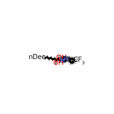 CCCCCCCCCCCCCCCCC(O)C(O)CN1CCN(Cc2cccc(C(F)(F)F)c2)CC1